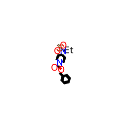 CCN(C1CCN(C(=O)OCc2ccccc2)CC1)S(C)(=O)=O